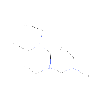 CCN(CC(C)=O)CN(CC(C)=O)CN(CC(C)=O)CC(C)=O